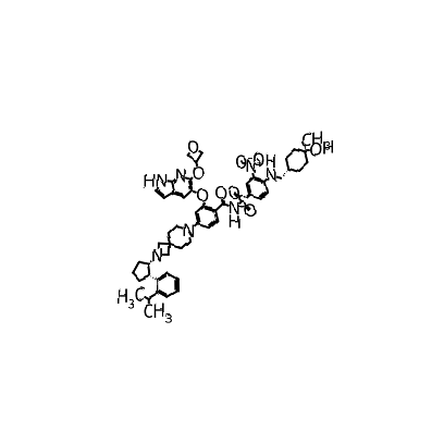 CC(C)c1ccccc1[C@@H]1CCC[C@@H]1N1CC2(CCN(c3ccc(C(=O)NS(=O)(=O)c4ccc(NC[C@H]5CC[C@](C)(O)CC5)c([N+](=O)[O-])c4)c(Oc4cc5cc[nH]c5nc4OC4COC4)c3)CC2)C1